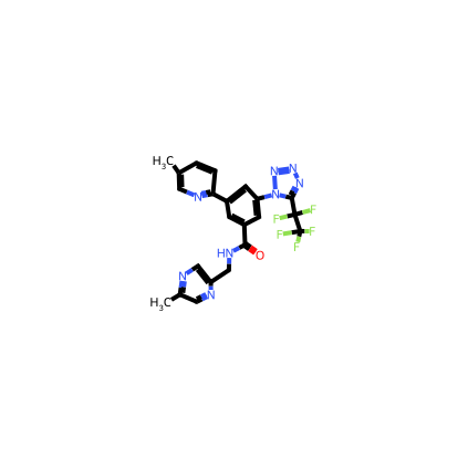 Cc1ccc(-c2cc(C(=O)NCc3cnc(C)cn3)cc(-n3nnnc3C(F)(F)C(F)(F)F)c2)nc1